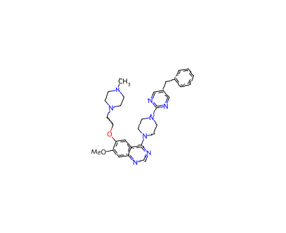 COc1cc2ncnc(N3CCN(c4ncc(Cc5ccccc5)cn4)CC3)c2cc1OCCN1CCN(C)CC1